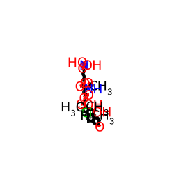 CC(=O)NC(CC(=O)OCC(=O)[C@@]1(O)[C@@H](C)C[C@H]2[C@@H]3CCC4=CC(=O)C=C[C@]4(C)[C@@]3(Cl)[C@@H](O)C[C@@]21C)C(=O)OCCCCON(O)O